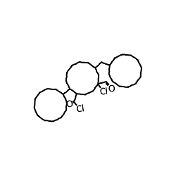 O=CC1(Cl)CCC(C(=O)Cl)C(C2CCCCCCCCCCC2)CCCCCC(CC2CCCCCCCCCCC2)C1